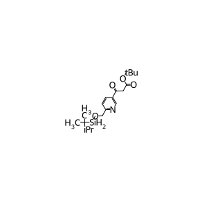 CC(C)C(C)(C)[SiH2]OCc1ccc(C(=O)CC(=O)OC(C)(C)C)cn1